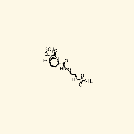 NS(=O)(=O)NCCONC(=O)[C@@H]1CC[C@@H]2CN1C(=O)N2OS(=O)(=O)O